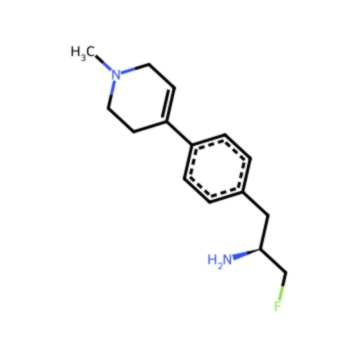 CN1CC=C(c2ccc(C[C@H](N)CF)cc2)CC1